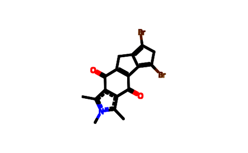 Cc1c2c(c(C)n1C)C(=O)C1=C(CC3=C(Br)CC(Br)=C31)C2=O